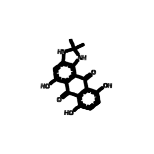 CC1(C)Nc2cc(O)c3c(c2N1)C(=O)c1c(O)ccc(O)c1C3=O